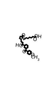 COc1ccc(C(=O)c2cccc(C(O)C=CC3CCC(=O)N3CCCCCCC(=O)O)c2)cc1